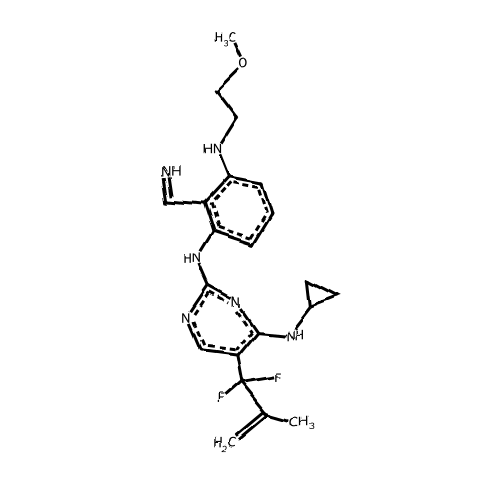 C=C(C)C(F)(F)c1cnc(Nc2cccc(NCCOC)c2C=N)nc1NC1CC1